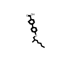 CCCCCC(C)COc1ccc(-c2ccc(C(=O)O)cc2)cc1